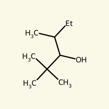 CCC(C)C(O)C(C)(C)C